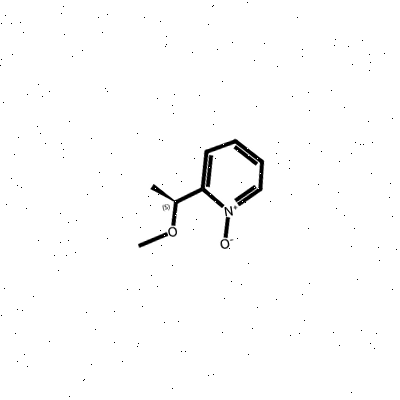 CO[C@@H](C)c1cccc[n+]1[O-]